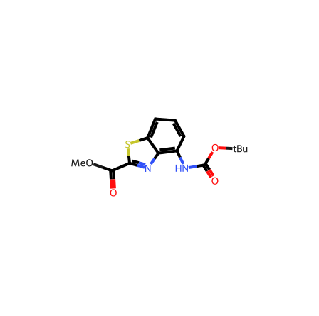 COC(=O)c1nc2c(NC(=O)OC(C)(C)C)cccc2s1